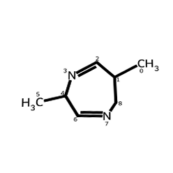 CC1C=NC(C)C=NC1